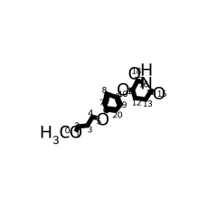 COCCCOc1ccc(OC2CCC(=O)NC2=O)cc1